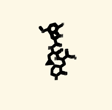 COc1ccc(F)c2[nH]c(C(=O)NC(CC3CC3)C(=O)NC(CC3CCCNC3=O)C(N)=O)cc12